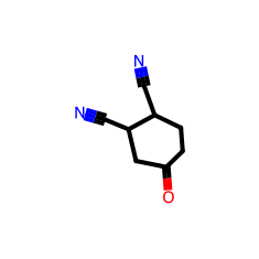 N#CC1CCC(=O)CC1C#N